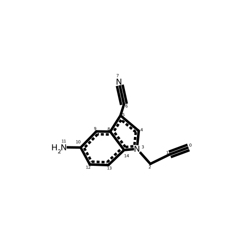 C#CCn1cc(C#N)c2cc(N)ccc21